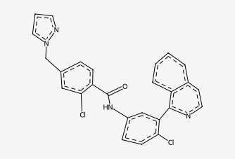 O=C(Nc1ccc(Cl)c(-c2nccc3ccccc23)c1)c1ccc(Cn2cccn2)cc1Cl